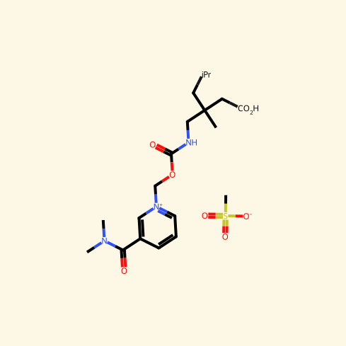 CC(C)CC(C)(CNC(=O)OC[n+]1cccc(C(=O)N(C)C)c1)CC(=O)O.CS(=O)(=O)[O-]